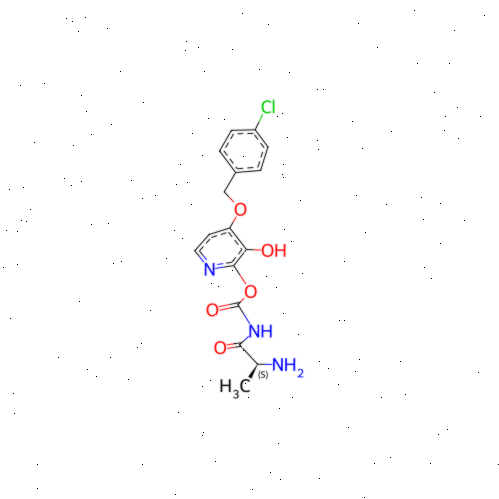 C[C@H](N)C(=O)NC(=O)Oc1nccc(OCc2ccc(Cl)cc2)c1O